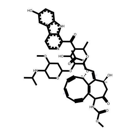 COC(=O)NC1C(=O)C[C@H](O)/C(=C/CSC(C)=O)C2=C1C#C/C=C\C#C[C@@H]2OC1OC(C)C(C(=O)c2nccc3c2[nH]c2ccc(O)cc23)C(O)C1OC1CC(OC)C(NC(C)C)CO1